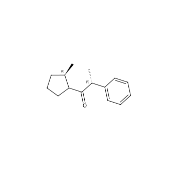 C[C@@H]1CCCC1C(=O)[C@H](C)c1ccccc1